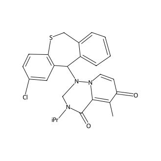 Cc1c2n(ccc1=O)N(C1c3ccccc3CSc3ccc(Cl)cc31)CN(C(C)C)C2=O